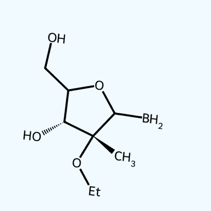 BC1OC(CO)[C@@H](O)[C@@]1(C)OCC